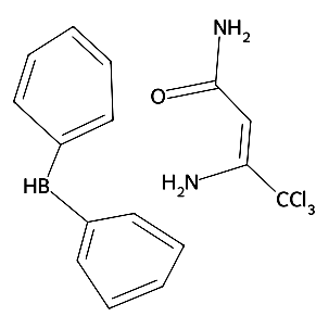 B(c1ccccc1)c1ccccc1.NC(=O)/C=C(\N)C(Cl)(Cl)Cl